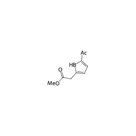 COC(=O)CC1=CC=C(C(C)=O)B1